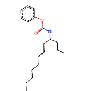 CCCCCCCCC(CCC)NC(=O)Oc1ccccc1